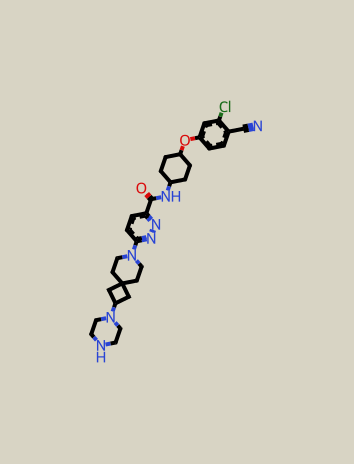 N#Cc1ccc(OC2CCC(NC(=O)c3ccc(N4CCC5(CC4)CC(N4CCNCC4)C5)nn3)CC2)cc1Cl